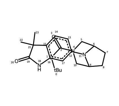 CC(C)(C)OC(=O)N1CC2CCC(C1)N2c1ccc2c(c1)NC(=O)C2(C)C